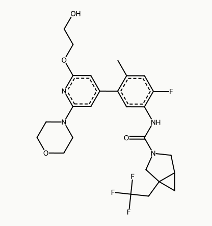 Cc1cc(F)c(NC(=O)N2CC3CC3(CC(F)(F)F)C2)cc1-c1cc(OCCO)nc(N2CCOCC2)c1